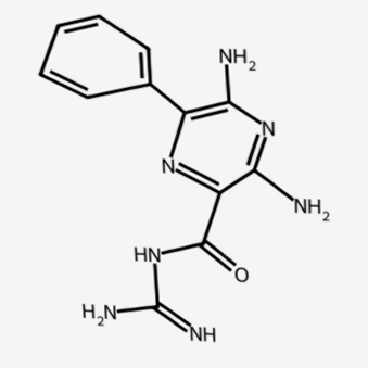 N=C(N)NC(=O)c1nc(-c2ccccc2)c(N)nc1N